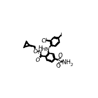 NS(=O)(=O)c1ccc(C(=O)NOCC2CC2)c(Nc2ccc(I)cc2Cl)c1